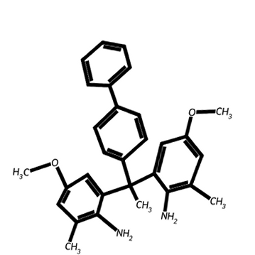 COc1cc(C)c(N)c(C(C)(c2ccc(-c3ccccc3)cc2)c2cc(OC)cc(C)c2N)c1